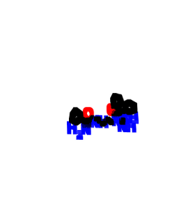 N=C1NC(c2ccccc2)(c2ccccc2)C(=O)N1CCCCNC(=O)[C@@H](N)c1ccccc1